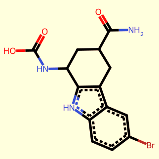 NC(=O)C1Cc2c([nH]c3ccc(Br)cc23)C(NC(=O)O)C1